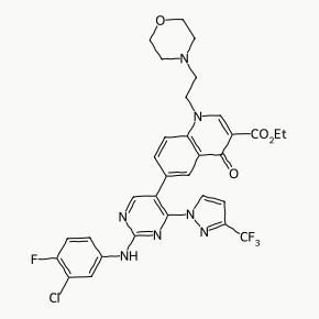 CCOC(=O)c1cn(CCN2CCOCC2)c2ccc(-c3cnc(Nc4ccc(F)c(Cl)c4)nc3-n3ccc(C(F)(F)F)n3)cc2c1=O